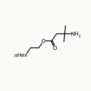 CCCCCCCCOC(=O)CC(C)(C)N